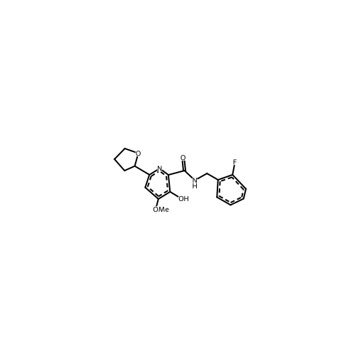 COc1cc(C2CCCO2)nc(C(=O)NCc2ccccc2F)c1O